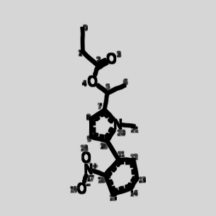 CCC(=O)OC(C)c1ccc(-c2ccccc2[N+](=O)[O-])n1C